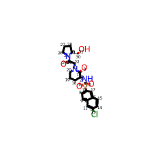 O=C1[C@@H](NS(=O)(=O)c2ccc3cc(Cl)ccc3c2)CCCN1CC(=O)N1CCC[C@@H]1CO